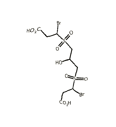 O=C(O)CC(Br)S(=O)(=O)CC(O)CS(=O)(=O)C(Br)CC(=O)O